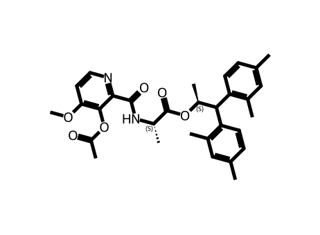 COc1ccnc(C(=O)N[C@@H](C)C(=O)O[C@@H](C)C(c2ccc(C)cc2C)c2ccc(C)cc2C)c1OC(C)=O